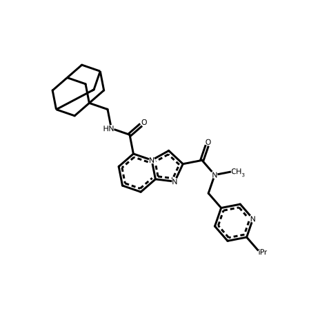 CC(C)c1ccc(CN(C)C(=O)c2cn3c(C(=O)NCC45CC6CC(CC(C6)C4)C5)cccc3n2)cn1